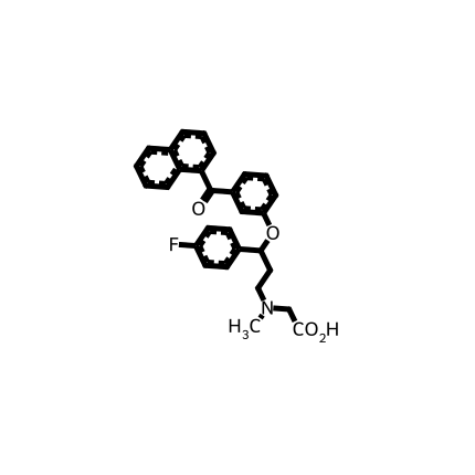 CN(CCC(Oc1cccc(C(=O)c2cccc3ccccc23)c1)c1ccc(F)cc1)CC(=O)O